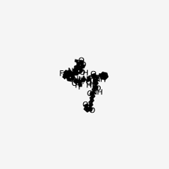 CC[C@H]1C(=O)OCc2c1cc1n(c2=O)Cc2c-1nc1cc(F)c(C)c3c1c2[C@@H](NC(=O)C(OCNC(=O)CNC(=O)[C@H](Cc1ccccc1)NC(=O)CNC(=O)CNC(=O)CCCCCN1C(=O)C=CC1=O)C(F)(F)F)CC3